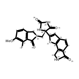 COc1ccc2c(c1F)C(=O)N(C[C@@]1(c3cc4ccc5c(c4o3)CNC5=O)NC(=O)NC1=O)C2